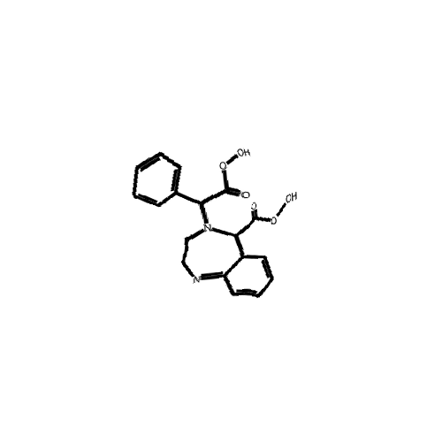 O=C(OO)C(c1ccccc1)N1CCN=C2C=CC=CC2C1C(=O)OO